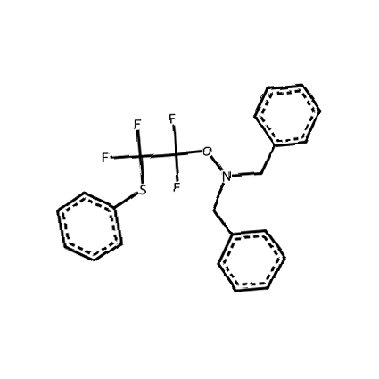 FC(F)(ON(Cc1ccccc1)Cc1ccccc1)C(F)(F)Sc1ccccc1